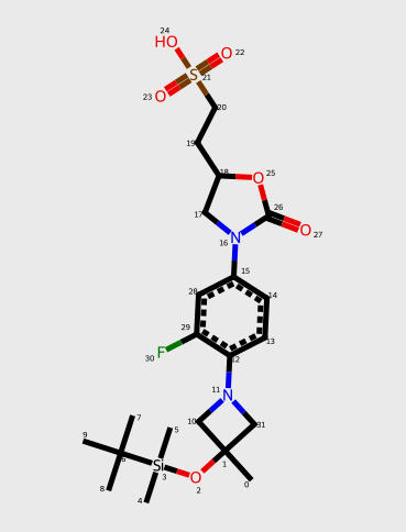 CC1(O[Si](C)(C)C(C)(C)C)CN(c2ccc(N3CC(CCS(=O)(=O)O)OC3=O)cc2F)C1